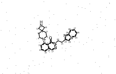 O=c1c2c(N3CCC4(CC3)CNC4)cccc2cnn1CCc1cn2ccccc2n1